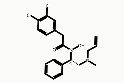 C=CCN(C)C[C@H](c1ccccc1)N(O)C(=O)Cc1ccc(Cl)c(Cl)c1